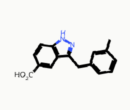 Cc1cccc(Cc2n[nH]c3ccc(C(=O)O)cc23)c1